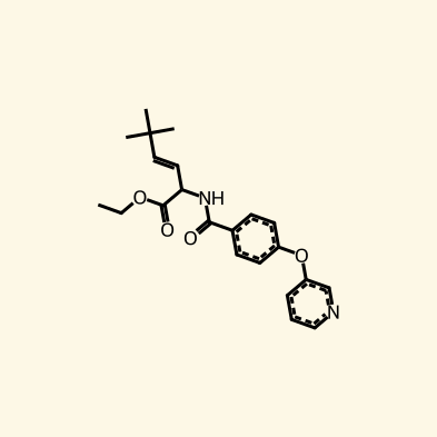 CCOC(=O)C(/C=C/C(C)(C)C)NC(=O)c1ccc(Oc2cccnc2)cc1